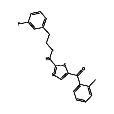 Cc1ccccc1C(=O)c1cnc(N[CH]CCc2cccc(F)c2)s1